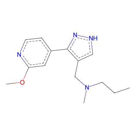 CCCN(C)Cc1c[nH]nc1-c1ccnc(OC)c1